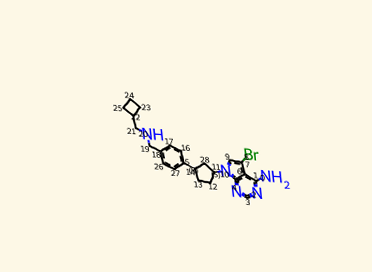 Nc1ncnc2c1c(Br)cn2[C@H]1CC[C@@H](c2ccc(CNCC3CCC3)cc2)C1